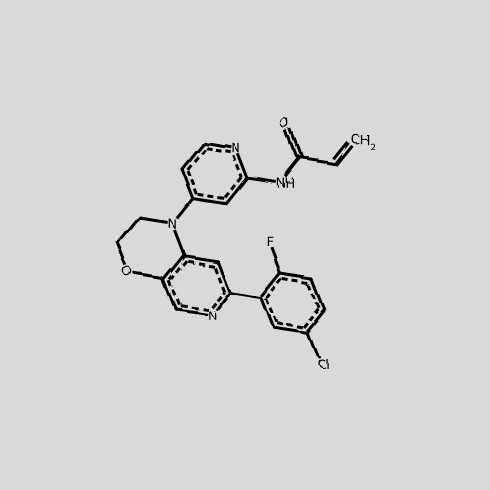 C=CC(=O)Nc1cc(N2CCOc3cnc(-c4cc(Cl)ccc4F)cc32)ccn1